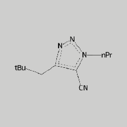 CCCn1nnc(CC(C)(C)C)c1C#N